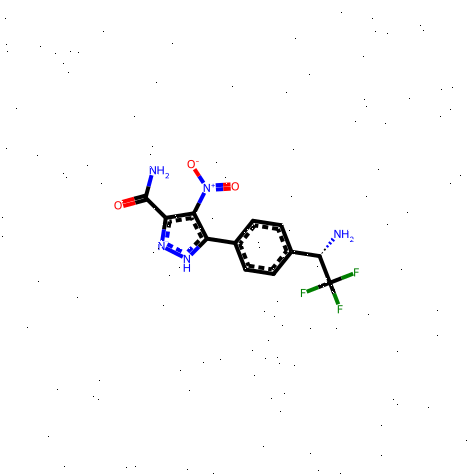 NC(=O)c1n[nH]c(-c2ccc([C@H](N)C(F)(F)F)cc2)c1[N+](=O)[O-]